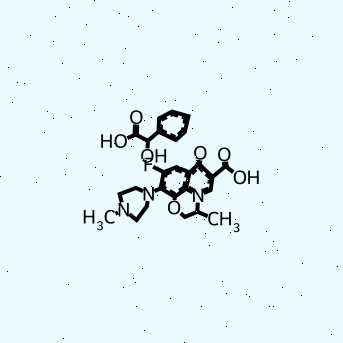 CC1COc2c(N3CCN(C)CC3)c(F)cc3c(=O)c(C(=O)O)cn1c23.O=C(O)C(O)c1ccccc1